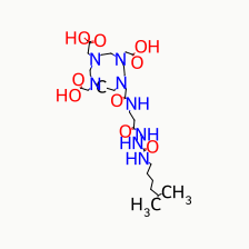 CC(C)CCCCNC(=O)NNC(=O)CCNC(=O)CN1CCN(CC(=O)O)CCN(CC(=O)O)CCN(CC(=O)O)CC1